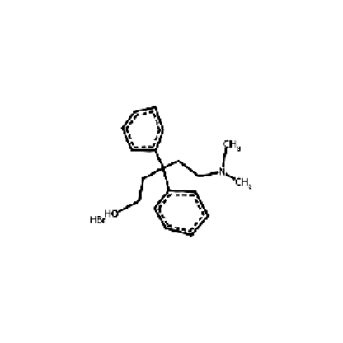 Br.CN(C)CCC(CCO)(c1ccccc1)c1ccccc1